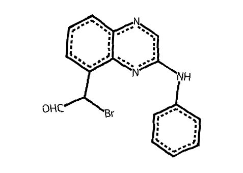 O=CC(Br)c1cccc2ncc(Nc3ccccc3)nc12